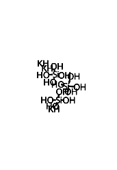 O[Si](O)(O)O.O[Si](O)(O)O.O[Si](O)(O)O.[KH].[KH].[KH]